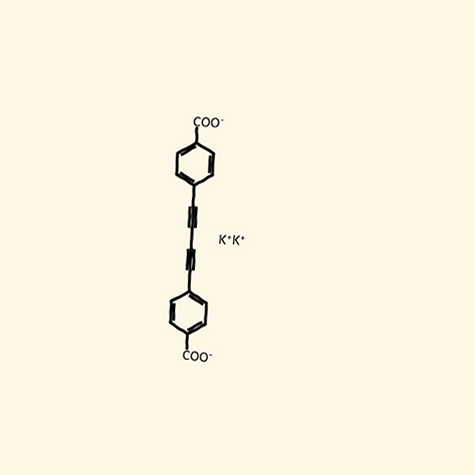 O=C([O-])c1ccc(C#CC#Cc2ccc(C(=O)[O-])cc2)cc1.[K+].[K+]